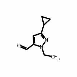 CCn1nc(C2CC2)cc1C=O